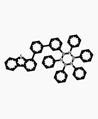 c1ccc(B2N(c3ccccc3)B(c3ccccc3)N(c3ccccc3)B(c3cccc(-c4cccc(-c5cccc6c5sc5ccccc56)c4)c3)N2c2ccccc2)cc1